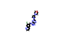 Fc1cc2ncccc2cc1Cn1nnc2ncc(N3CC[C@@H](N4CCOCC4)C3)nc21